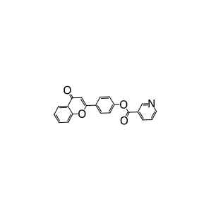 O=C(Oc1ccc(-c2cc(=O)c3ccccc3o2)cc1)c1cccnc1